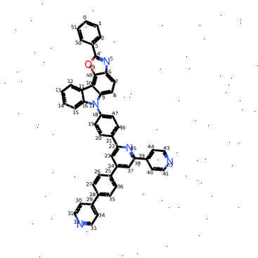 c1ccc(-c2nc3ccc4c(c5ccccc5n4-c4ccc(-c5cc(-c6ccc(-c7ccncc7)cc6)cc(-c6ccncc6)n5)cc4)c3o2)cc1